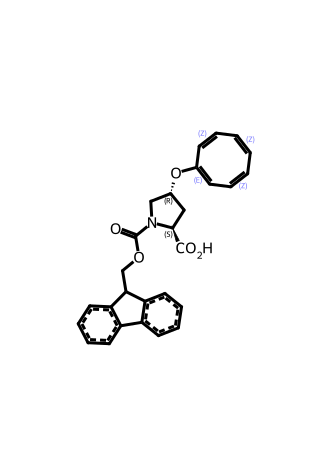 O=C(O)[C@@H]1C[C@@H](OC2=C/C=C\C=C/C=C\2)CN1C(=O)OCC1c2ccccc2-c2ccccc21